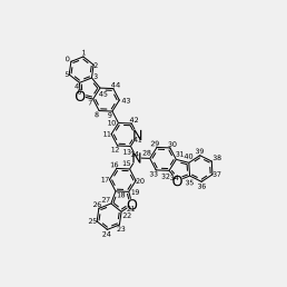 c1ccc2c(c1)oc1cc(-c3ccc(N(c4ccc5c(c4)oc4ccccc45)c4ccc5c(c4)oc4ccccc45)nc3)ccc12